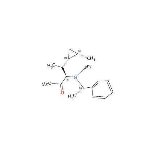 CCCN([C@@H](C)c1ccccc1)[C@@H](C(=O)OC)C(C)[C@@H]1C[C@@H]1C